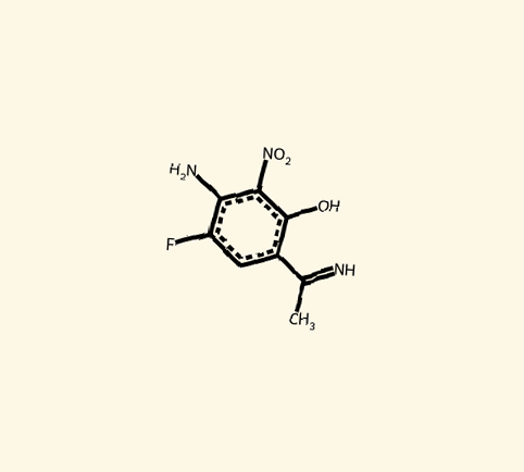 CC(=N)c1cc(F)c(N)c([N+](=O)[O-])c1O